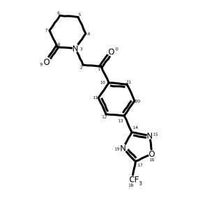 O=C(CN1CCCCC1=O)c1ccc(-c2noc(C(F)(F)F)n2)cc1